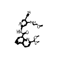 COCCNc1cc(NC(=O)c2cccc3ccc(C(OC)OC)nc23)ncc1C#N